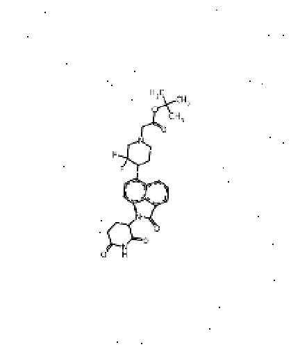 CC(C)(C)OC(=O)CN1CCC(c2ccc3c4c(cccc24)C(=O)N3C2CCC(=O)NC2=O)C(F)(F)C1